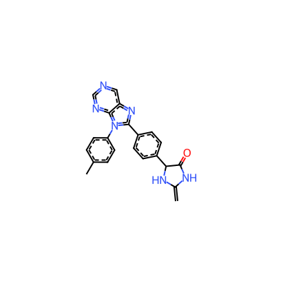 C=C1NC(=O)C(c2ccc(-c3nc4cncnc4n3-c3ccc(C)cc3)cc2)N1